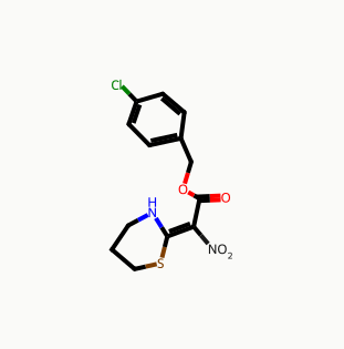 O=C(OCc1ccc(Cl)cc1)C(=C1NCCCS1)[N+](=O)[O-]